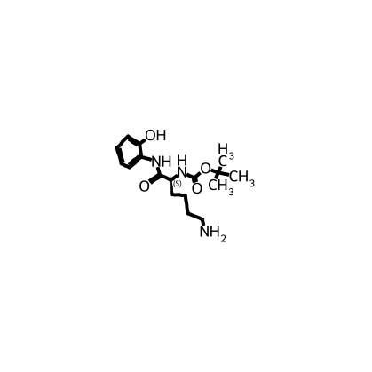 CC(C)(C)OC(=O)N[C@@H](CCCCN)C(=O)Nc1ccccc1O